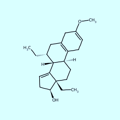 CC[C@@H]1CC2=C(CC=C(OC)C2)[C@H]2CC[C@@]3(CC)C(=CC[C@@H]3O)[C@H]12